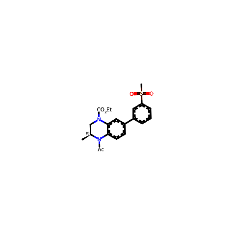 CCOC(=O)N1C[C@H](C)N(C(C)=O)c2ccc(-c3cccc(S(C)(=O)=O)c3)cc21